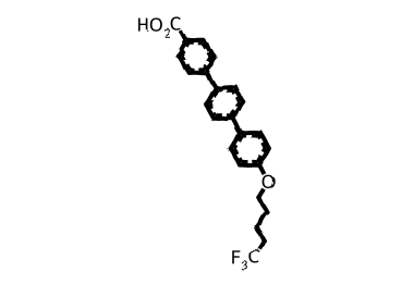 O=C(O)c1ccc(-c2ccc(-c3ccc(OCCCCC(F)(F)F)cc3)cc2)cc1